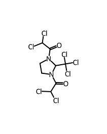 O=C(C(Cl)Cl)N1CCN(C(=O)C(Cl)Cl)C1C(Cl)(Cl)Cl